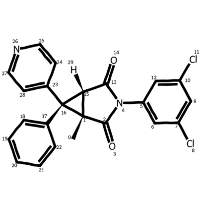 C[C@]12C(=O)N(c3cc(Cl)cc(Cl)c3)C(=O)[C@H]1[C@@]2(c1ccccc1)c1ccncc1